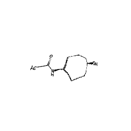 CC(=O)C(=O)N[C@H]1CC[C@@H](O)CC1